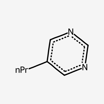 [CH2]CCc1cncnc1